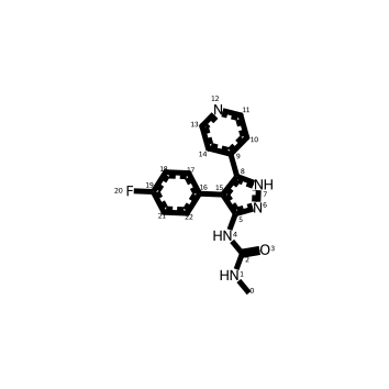 CNC(=O)Nc1n[nH]c(-c2ccncc2)c1-c1ccc(F)cc1